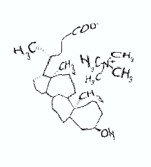 C[C@H](CCC(=O)[O-])[C@H]1CCC2C3CCC4C[C@H](O)CC[C@]4(C)C3CC[C@@]21C.C[N+](C)(C)C